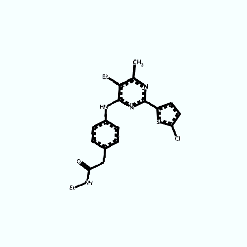 CCNC(=O)Cc1ccc(Nc2nc(-c3ccc(Cl)s3)nc(C)c2CC)cc1